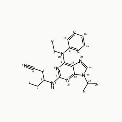 CCC(CC#N)Nc1nc(N(CC)c2ccccc2)c2ncn(C(C)C)c2n1